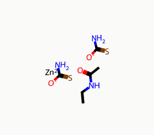 CCNC(C)=O.NC([O-])=S.NC([O-])=S.[Zn+2]